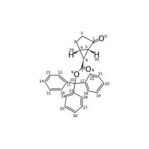 O=C1CC[C@@H]2[C@H]1[C@H]2C(=O)OC(c1ccccc1)(c1ccccc1)c1ccccc1